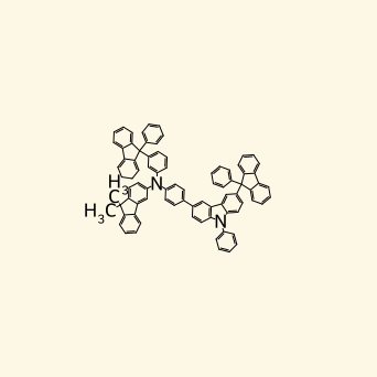 CC1(C)c2ccccc2-c2cc(N(c3ccc(-c4ccc5c(c4)c4cc(C6(c7ccccc7)c7ccccc7-c7ccccc76)ccc4n5-c4ccccc4)cc3)c3cccc(C4(c5ccccc5)C5=CCCC=C5c5ccccc54)c3)ccc21